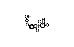 O=C1CCC(N2Cc3cc(OC4CC(O)C4)ccc3C2=O)C(=O)N1